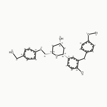 CCOc1ccc(Cc2cc([C@H]3C[C@@H](O)C[C@@H](CSc4ccc(CO)cc4)O3)ccc2Cl)cc1